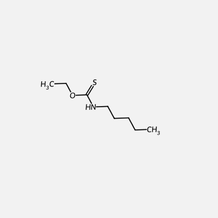 CCCCCNC(=S)OCC